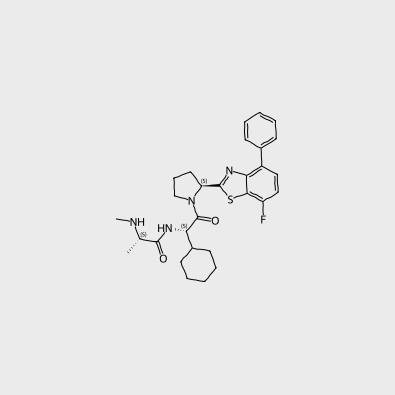 CN[C@@H](C)C(=O)N[C@H](C(=O)N1CCC[C@H]1c1nc2c(-c3ccccc3)ccc(F)c2s1)C1CCCCC1